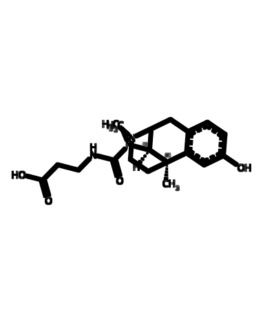 CN1CC[C@]2(C)c3cc(O)ccc3CC1[C@@H]2N(C)C(=O)NCCC(=O)O